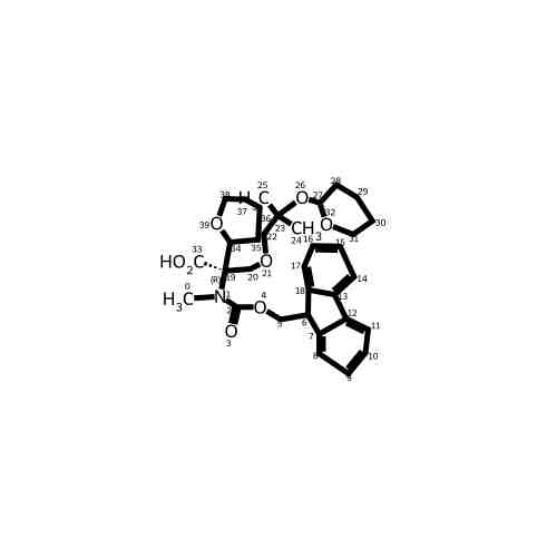 CN(C(=O)OCC1c2ccccc2-c2ccccc21)[C@@](COCC(C)(C)OC1CCCCO1)(C(=O)O)C1CCCCO1